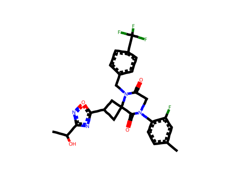 Cc1ccc(N2CC(=O)N(Cc3ccc(C(F)(F)F)cc3)C3(CC(c4nc(C(C)O)no4)C3)C2=O)c(F)c1